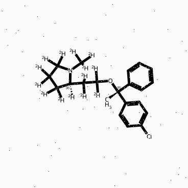 [2H]C([2H])([2H])N1C([2H])([2H])C([2H])([2H])C([2H])([2H])[C@]1([2H])C([2H])([2H])C([2H])([2H])O[C@](C)(c1ccccc1)c1ccc(Cl)cc1